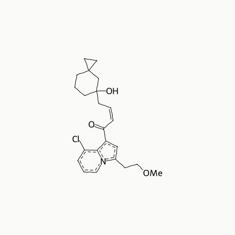 COCCc1cc(C(=O)/C=C\CC2(O)CCCC3(CC3)C2)c2c(Cl)cccn12